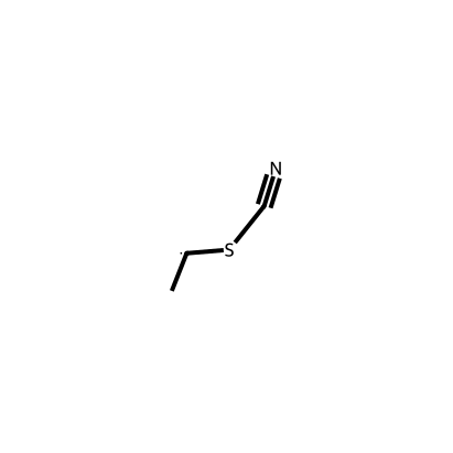 C[CH]SC#N